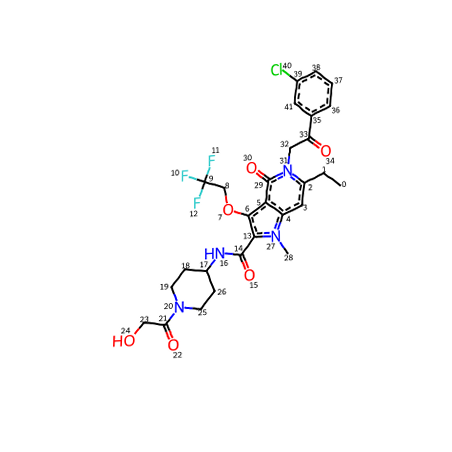 CCc1cc2c(c(OCC(F)(F)F)c(C(=O)NC3CCN(C(=O)CO)CC3)n2C)c(=O)n1CC(=O)c1cccc(Cl)c1